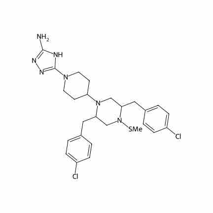 CSN1CC(Cc2ccc(Cl)cc2)N(C2CCN(c3nnc(N)[nH]3)CC2)CC1Cc1ccc(Cl)cc1